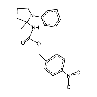 CC1(NC(=O)OCc2ccc([N+](=O)[O-])cc2)CCCN1c1ccccc1